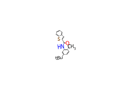 Cc1ccc(C(C)(C)C)cc1NC(=O)c1cc2ccccc2s1